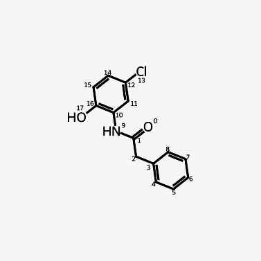 O=C(Cc1ccccc1)Nc1cc(Cl)ccc1O